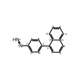 N=Nc1ccc(-c2cccc3ccccc23)cc1